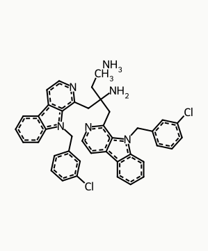 CCC(N)(Cc1nccc2c3ccccc3n(Cc3cccc(Cl)c3)c12)Cc1nccc2c3ccccc3n(Cc3cccc(Cl)c3)c12.N